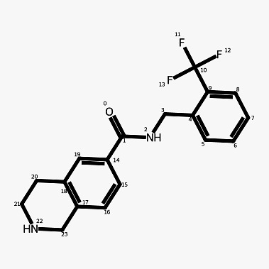 O=C(NCc1ccccc1C(F)(F)F)c1ccc2c(c1)CCNC2